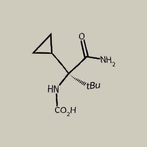 CC(C)(C)[C@@](NC(=O)O)(C(N)=O)C1CC1